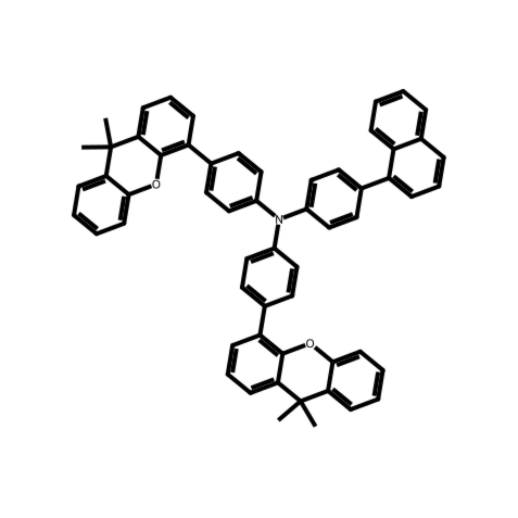 CC1(C)c2ccccc2Oc2c(-c3ccc(N(c4ccc(-c5cccc6c5Oc5ccccc5C6(C)C)cc4)c4ccc(-c5cccc6ccccc56)cc4)cc3)cccc21